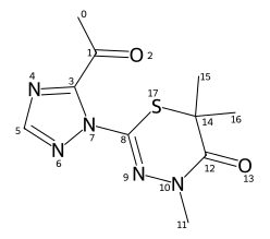 CC(=O)c1ncnn1C1=NN(C)C(=O)C(C)(C)S1